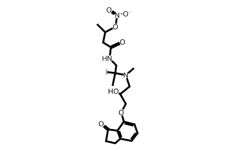 CC(CC(=O)NCC(C)(I)N(C)CC(O)COc1cccc2c1C(=O)CC2)O[N+](=O)[O-]